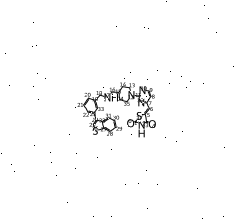 O=C1NC(=O)C(=Cc2ccnc(N3CCC(CNCc4cccc(-c5csc6ccccc56)c4)CC3)n2)S1